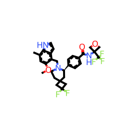 COc1cc(C)c2[nH]ccc2c1CN1CCC2(C[C@@H]1c1ccc(C(=O)NC3(C(F)(F)F)COC3)cc1)CC(F)(F)C2